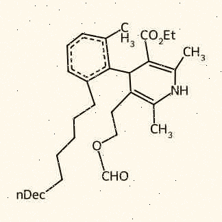 CCCCCCCCCCCCCCCc1cccc(C)c1C1C(CCOC=O)=C(C)NC(C)=C1C(=O)OCC